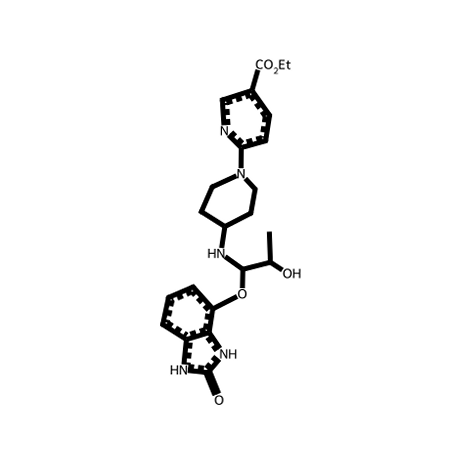 CCOC(=O)c1ccc(N2CCC(NC(Oc3cccc4[nH]c(=O)[nH]c34)C(C)O)CC2)nc1